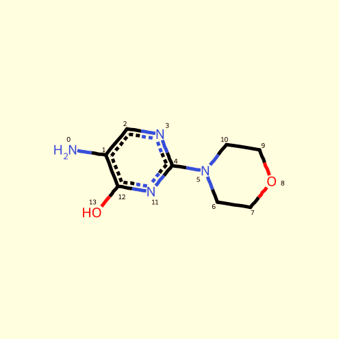 Nc1cnc(N2CCOCC2)nc1O